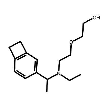 CCN(CCOCCO)C(C)c1ccc2c(c1)CC2